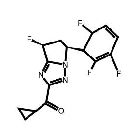 O=C(c1nc2n(n1)[C@H](C1C(F)=C(F)C=CC1F)C[C@@H]2F)C1CC1